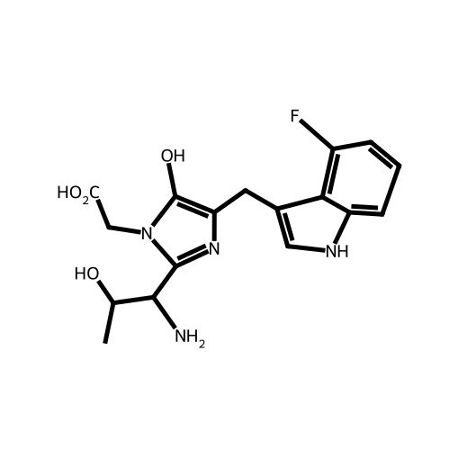 CC(O)C(N)c1nc(Cc2c[nH]c3cccc(F)c23)c(O)n1CC(=O)O